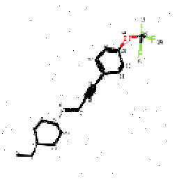 CC[C@H]1CC[C@H](/C=C/C#Cc2ccc(OC(F)(F)F)cc2)CC1